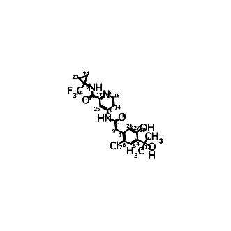 CC(C)(O)c1cc(Cl)c(CC(=O)Nc2ccnc(C(=O)NC3(C(F)(F)F)CC3)c2)cc1O